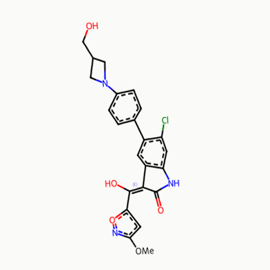 COc1cc(/C(O)=C2\C(=O)Nc3cc(Cl)c(-c4ccc(N5CC(CO)C5)cc4)cc32)on1